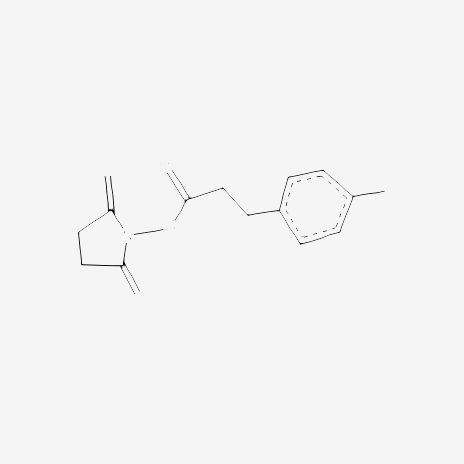 C=C1CCC(=O)N1OC(=O)CCc1ccc(C)cc1